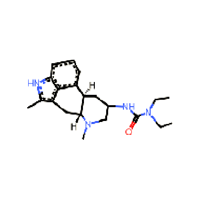 CCN(CC)C(=O)NC1C[C@@H]2c3cccc4[nH]c(C)c(c34)C[C@H]2N(C)C1